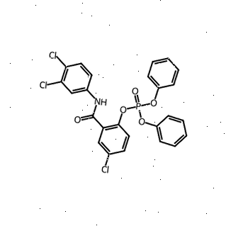 O=C(Nc1ccc(Cl)c(Cl)c1)c1cc(Cl)ccc1OP(=O)(Oc1ccccc1)Oc1ccccc1